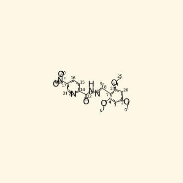 COc1cc(OC)c(C(C)=NNC(=O)c2ccc([N+](=O)[O-])cn2)c(OC)c1